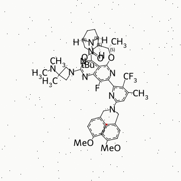 COc1ccc(CN(Cc2ccc(OC)cc2)c2cc(C)c(C(F)(F)F)c(-c3nc4c5c(nc(N6CC(C)(N(C)C)C6)nc5c3F)N3C[C@H]5CC[C@@H]([C@H]3[C@H](C)O4)N5C(=O)OC(C)(C)C)n2)cc1